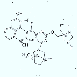 C#Cc1cccc2cc(O)c(F)c(-c3c(F)cc4c(N5C[C@H]6CC[C@@](C)(C5)N6)nc(OC[C@@]56CCCN5C[C@H](F)C6)nc4c3F)c12